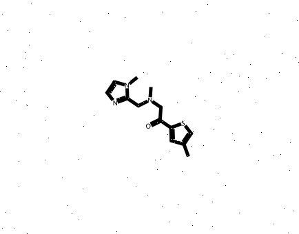 Cc1csc(C(=O)CN(C)Cc2nccn2C)c1